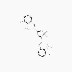 Cc1cccc(CSC2=NC(C)(C)C(SCc3cccc(C)c3N(C)C)=N2)c1N(C)C